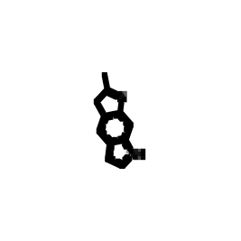 CC1=Nc2cc3[nH]ccc3cc2C1